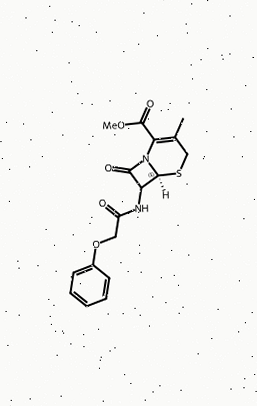 COC(=O)C1=C(C)CS[C@H]2C(NC(=O)COc3ccccc3)C(=O)N12